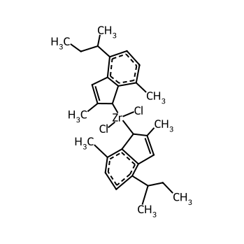 CCC(C)c1ccc(C)c2c1C=C(C)[CH]2[Zr]([Cl])([Cl])[CH]1C(C)=Cc2c(C(C)CC)ccc(C)c21